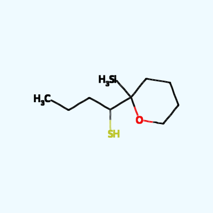 CCCC(S)C1([SiH3])CCCCO1